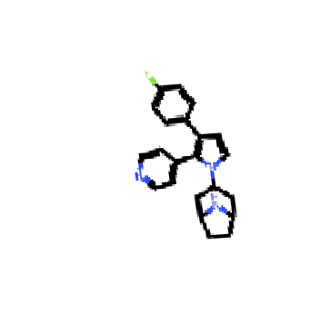 Fc1ccc(-c2ccn(C3CC4CCC(C3)N4)c2-c2ccncc2)cc1